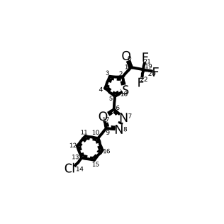 O=C(c1ccc(-c2nnc(-c3ccc(Cl)cc3)o2)s1)C(F)(F)F